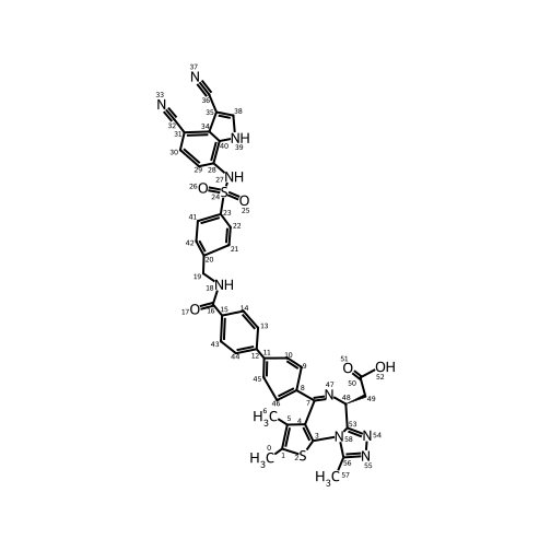 Cc1sc2c(c1C)C(c1ccc(-c3ccc(C(=O)NCc4ccc(S(=O)(=O)Nc5ccc(C#N)c6c(C#N)c[nH]c56)cc4)cc3)cc1)=N[C@@H](CC(=O)O)c1nnc(C)n1-2